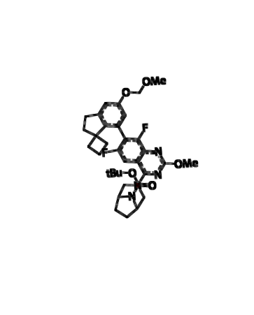 COCOc1cc2c(c(-c3c(F)cc4c(N5CC6CCC(C5)N6C(=O)OC(C)(C)C)nc(OC)nc4c3F)c1)C1(CCC1)CC2